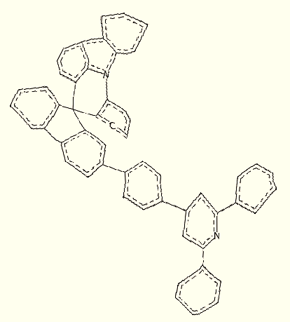 c1ccc(-c2cc(-c3ccc(-c4ccc5c(c4)C4(c6ccccc6-5)c5ccccc5-n5c6ccccc6c6cccc4c65)cc3)cc(-c3ccccc3)n2)cc1